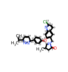 CC1CC(=O)N(Cc2cc3ccc(Cl)nc3cc2Oc2ccc(-c3ccc(C(C)C)nn3)cc2)C1